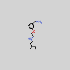 CCC(C)CCNCCOc1cccc(CN)c1